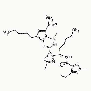 CCc1nc(C)sc1C(=O)N[C@@H](CCCCN)c1nc(C)sc1C(=O)N[C@@H](C)c1nc(CCCCN)sc1C(N)=O